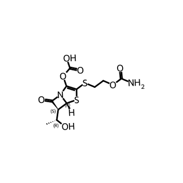 C[C@@H](O)[C@H]1C(=O)N2C(OC(=O)O)=C(SCCOC(N)=O)S[C@H]12